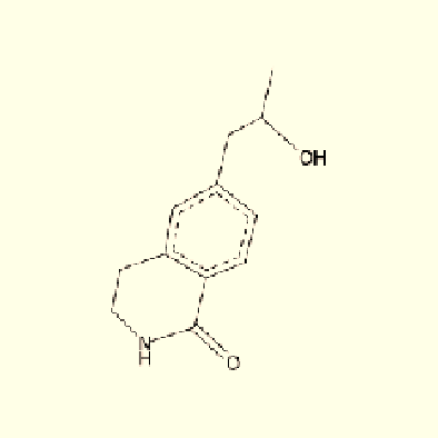 CC(O)Cc1ccc2c(c1)CCNC2=O